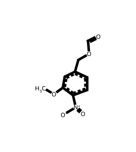 COc1cc(CO[C]=O)ccc1[N+](=O)[O-]